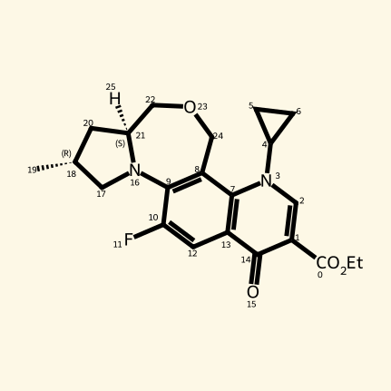 CCOC(=O)c1cn(C2CC2)c2c3c(c(F)cc2c1=O)N1C[C@H](C)C[C@H]1COC3